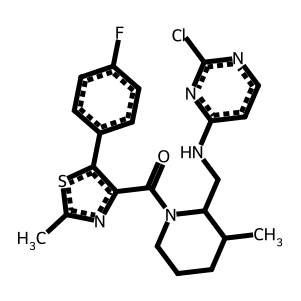 Cc1nc(C(=O)N2CCCC(C)C2CNc2ccnc(Cl)n2)c(-c2ccc(F)cc2)s1